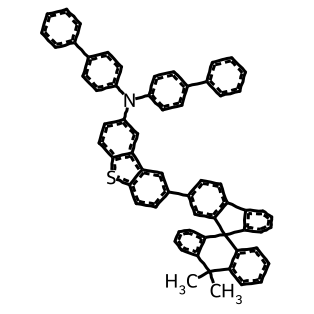 CC1(C)c2ccccc2C2(c3ccccc3-c3ccc(-c4ccc5sc6ccc(N(c7ccc(-c8ccccc8)cc7)c7ccc(-c8ccccc8)cc7)cc6c5c4)cc32)c2ccccc21